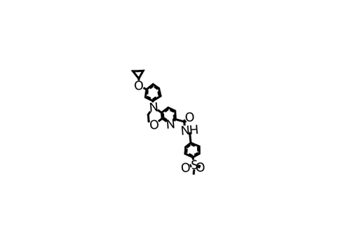 CS(=O)(=O)c1ccc(CNC(=O)c2ccc3c(n2)OCCN3c2cccc(OC3CC3)c2)cc1